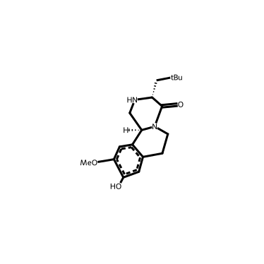 COc1cc2c(cc1O)CCN1C(=O)[C@@H](CC(C)(C)C)NC[C@H]21